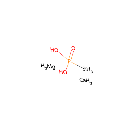 O=P(O)(O)[SiH3].[CaH2].[MgH2]